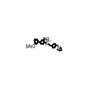 COc1cccc(-c2ccc(C(=O)NCCc3ccc(CN4CCCC4)cc3)c([N+](=O)[O-])c2)c1